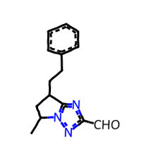 CC1CC(CCc2ccccc2)c2nc(C=O)nn21